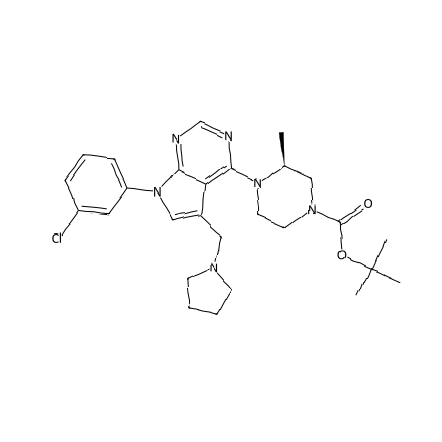 C[C@H]1CN(C(=O)OC(C)(C)C)CCN1c1ncnc2c1c(CN1CCCC1)cn2-c1cccc(Cl)c1